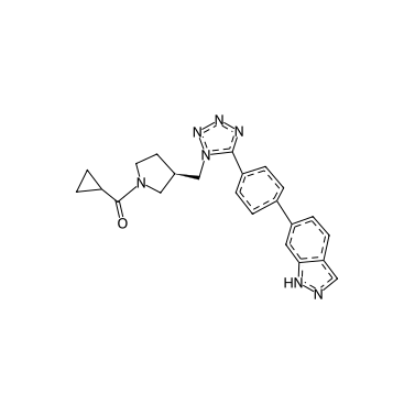 O=C(C1CC1)N1CC[C@@H](Cn2nnnc2-c2ccc(-c3ccc4cn[nH]c4c3)cc2)C1